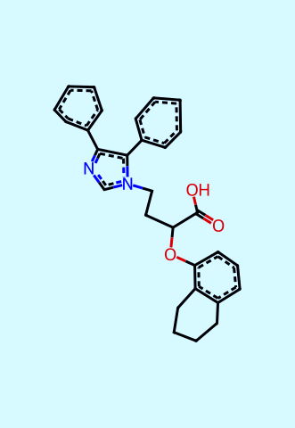 O=C(O)C(CCn1cnc(-c2ccccc2)c1-c1ccccc1)Oc1cccc2c1CCCC2